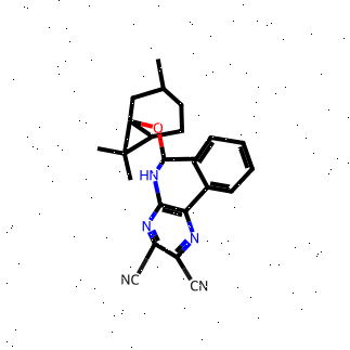 CC1CCC2C(C)(C)C2(OC(C)Nc2nc(C#N)c(C#N)nc2-c2ccccc2)C1